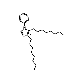 CCCCCCCCc1n(-c2ccccc2)cc[n+]1CCCCCCCC